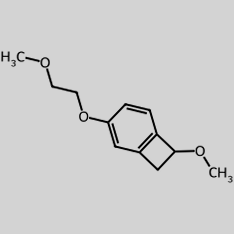 COCCOc1ccc2c(c1)CC2OC